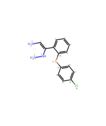 N/C=C(\NN)c1ccccc1Sc1ccc(Cl)cc1